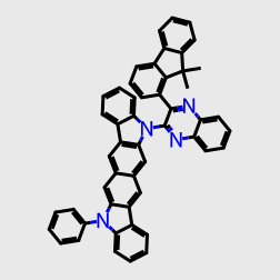 CC1(C)c2ccccc2-c2cccc(-c3nc4ccccc4nc3-n3c4ccccc4c4cc5cc6c(cc5cc43)c3ccccc3n6-c3ccccc3)c21